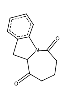 O=C1CCCC(=O)N2c3ccccc3CC12